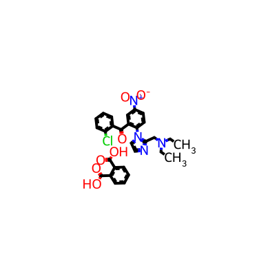 CCN(CC)Cc1nccn1-c1ccc([N+](=O)[O-])cc1C(=O)c1ccccc1Cl.O=C(O)c1ccccc1C(=O)O